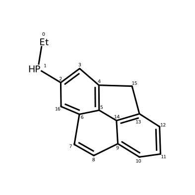 CCPc1cc2c3c(ccc4cccc(c43)C2)c1